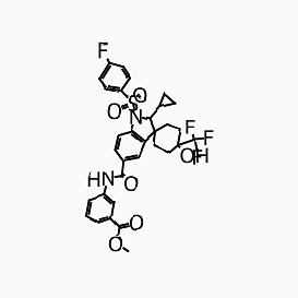 COC(=O)c1cccc(NC(=O)c2ccc3c(c2)C2(CCC(O)(C(F)(F)F)CC2)C(C2CC2)N3S(=O)(=O)c2ccc(F)cc2)c1